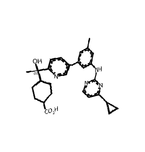 Cc1cc(Nc2nccc(C3CC3)n2)cc(-c2ccc([C@@](C)(O)C3CCC(C(=O)O)CC3)nc2)c1